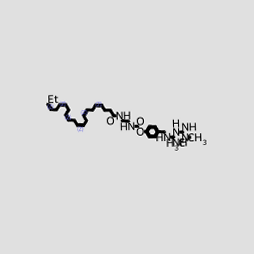 CC/C=C\C/C=C\C/C=C\C/C=C\C/C=C\C/C=C\CCC(=O)NCCNC(=O)Oc1ccc(CNC(=N)NC(=N)N(C)C)cc1